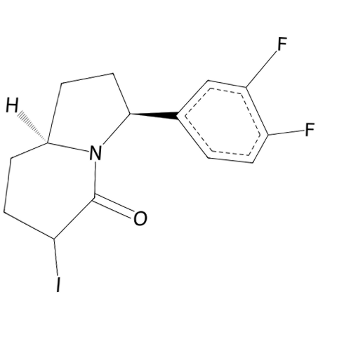 O=C1C(I)CC[C@H]2CC[C@@H](c3ccc(F)c(F)c3)N12